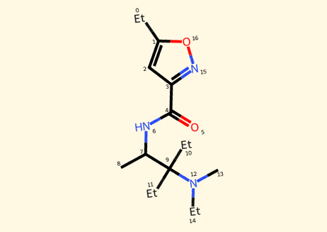 CCc1cc(C(=O)NC(C)C(CC)(CC)N(C)CC)no1